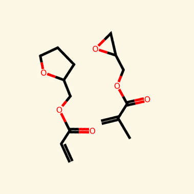 C=C(C)C(=O)OCC1CO1.C=CC(=O)OCC1CCCO1